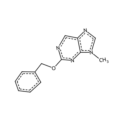 Cn1cnc2cnc(OCc3ccccc3)nc21